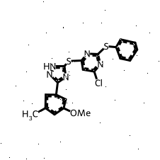 COc1cc(C)cc(-c2n[nH]c(Sc3cc(Cl)nc(Sc4ccccc4)n3)n2)c1